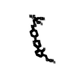 COCc1cccc(-c2cnc(N3CCC(=NOCC(C)(C)CO)CC3)nc2)c1F